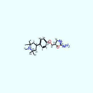 CN1C(C)(C)CC(c2ccc(OCC3CN=C(N)O3)cc2)CC1(C)C